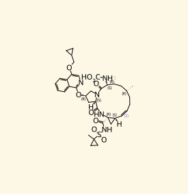 C[C@@H]1CC/C=C\[C@@H]2C[C@@]2(C(=O)NS(=O)(=O)C2(C)CC2)NC(=O)[C@@H]2C[C@@H](Oc3ncc(OCC4CC4)c4ccccc34)CN2C(=O)[C@@H](NC(=O)O)[C@H](C)C1